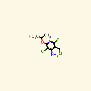 CC(Oc1nc(F)c(CCl)c(N)c1Cl)C(=O)O